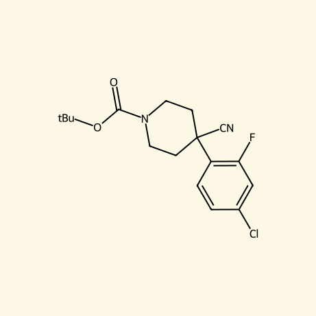 CC(C)(C)OC(=O)N1CCC(C#N)(c2ccc(Cl)cc2F)CC1